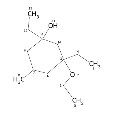 CCOC1(CC)CC(C)CC(O)(CC)C1